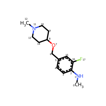 CNc1ccc(COC2CCN(C)CC2)cc1F